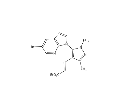 CCOC(=O)/C=C/c1c(C)nn(C)c1-n1ccc2cc(Br)cnc21